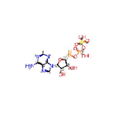 Nc1ncnc2c1ncn2[C@@H]1O[C@H](POP(=O)(O)OS(=O)(=O)O)[C@@H](O)[C@H]1O